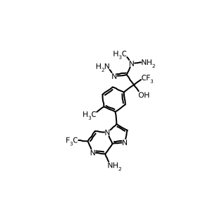 Cc1ccc(C(O)(/C(=N/N)N(C)N)C(F)(F)F)cc1-c1cnc2c(N)nc(C(F)(F)F)cn12